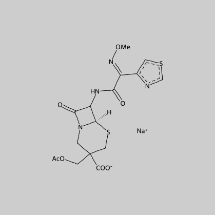 CON=C(C(=O)NC1C(=O)N2CC(COC(C)=O)(C(=O)[O-])CS[C@H]12)c1cscn1.[Na+]